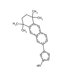 CCCn1ccc(-c2ccc3cc4c(cc3c2)C(C)(C)CCC4(C)C)c1